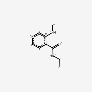 CCNC(=O)c1ccn[c]c1NC